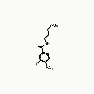 COCCCNC(=O)c1ccc([N+](=O)[O-])c(F)c1